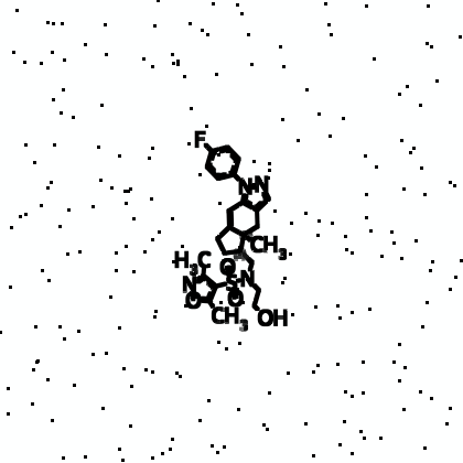 Cc1noc(C)c1S(=O)(=O)N(CCO)C[C@H]1CCC2=Cc3c(cnn3-c3ccc(F)cc3)C[C@@]21C